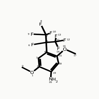 COc1cc(C(F)(C(F)(F)F)C(F)(F)F)c(OC)cc1N